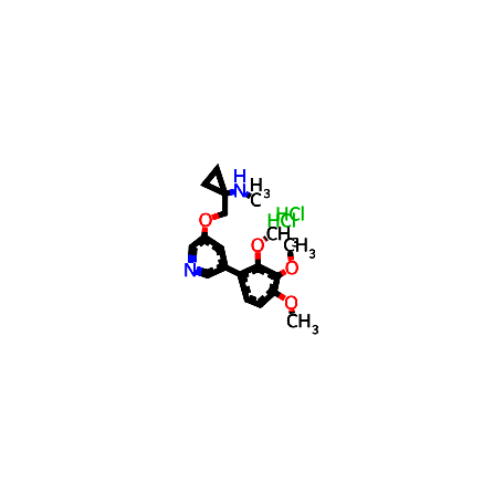 CNC1(COc2cncc(-c3ccc(OC)c(OC)c3OC)c2)CC1.Cl.Cl